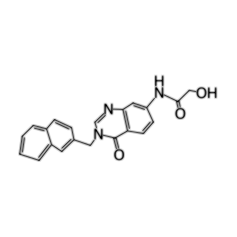 O=C(CO)Nc1ccc2c(=O)n(Cc3ccc4ccccc4c3)cnc2c1